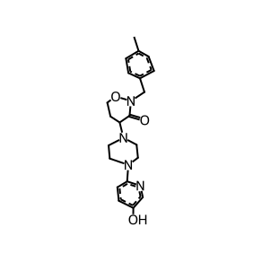 Cc1ccc(CN2OCCC(N3CCN(c4ccc(O)cn4)CC3)C2=O)cc1